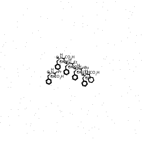 CC(NP(=O)(O)Cc1ccccc1)C(=O)O.CCC(NP(=O)(O)Cc1ccccc1)C(=O)O.CCCC(NP(=O)(O)Cc1ccccc1)C(=O)O.CCCCC(NP(=O)(O)Cc1ccccc1)C(=O)O.O=C(O)C(NP(=O)(O)Cc1ccccc1)C1CCCCC1